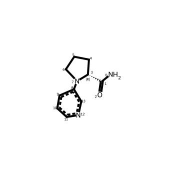 NC(=O)[C@H]1CCCN1c1cccnc1